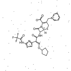 O=C([O-])C1=C(C[n+]2ccccc2)CS[C@H]2C(NC(=O)C(=NOC3CCCC3)c3csc(NC(=O)C(F)(F)F)n3)C(=O)N12